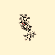 [2H]OC([2H])(C([2H])([2H])Oc1c([2H])c([2H])c([2H])c([2H])c1OC([2H])([2H])[2H])C([2H])([2H])N1C([2H])([2H])C([2H])([2H])N(C([2H])([2H])C(=O)N([2H])c2c(C([2H])([2H])[2H])c([2H])c([2H])c([2H])c2C([2H])([2H])[2H])C([2H])([2H])C1([2H])[2H]